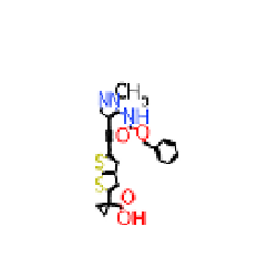 Cn1ncc(C#Cc2cc3cc(C4(C(=O)O)CC4)sc3s2)c1NC(=O)OCc1ccccc1